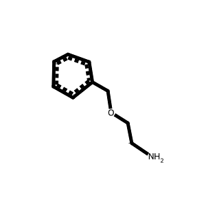 N[CH]COCc1ccccc1